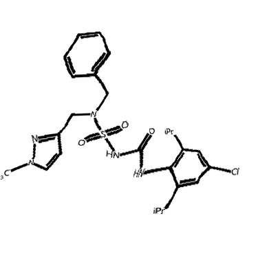 CC(C)c1cc(Cl)cc(C(C)C)c1NC(=O)NS(=O)(=O)N(Cc1ccccc1)Cc1ccn(C)n1